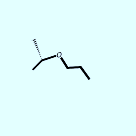 [CH2][C@@H](C)OCCC